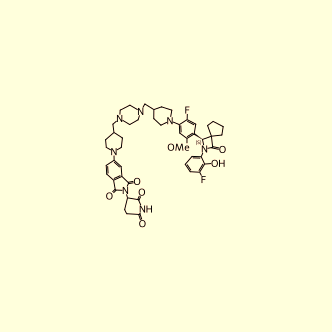 COc1cc(N2CCC(CN3CCN(CC4CCN(c5ccc6c(c5)C(=O)N(C5CCC(=O)NC5=O)C6=O)CC4)CC3)CC2)c(F)cc1[C@@H]1N(c2cccc(F)c2O)C(=O)C12CCCC2